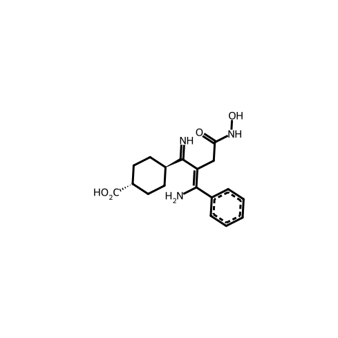 N=C(/C(CC(=O)NO)=C(\N)c1ccccc1)[C@H]1CC[C@H](C(=O)O)CC1